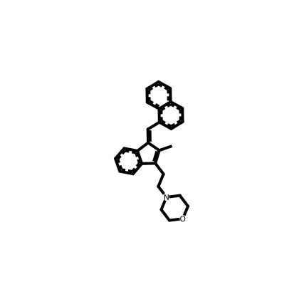 CC1=C(CCN2CCOCC2)c2ccccc2C1=Cc1cccc2ccccc12